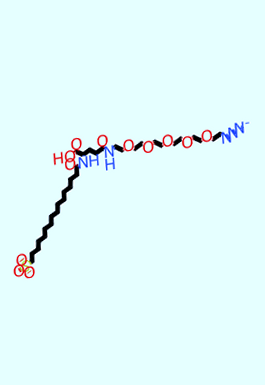 [N-]=[N+]=NCCOCCOCCOCCOCCOCCNC(=O)CCC(NC(=O)CCCCCCCCCCCCCCCS(=O)(=O)O)C(=O)O